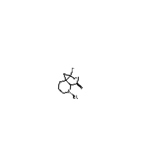 C=C(C)C1N(CC)CCCC12CC2(F)F